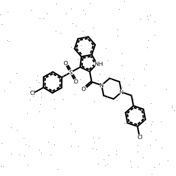 O=C(c1[nH]c2ccccc2c1S(=O)(=O)c1ccc(Cl)cc1)N1CCN(Cc2ccc(Cl)cc2)CC1